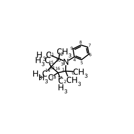 CC1(C)N(c2ccccc2)C(C)(C)C(C)(C)C1(C)C